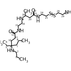 CCCNC(CC)(CCC)CCC(=O)NCCNC(C)CC(=O)NCCSSCCN